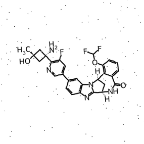 C[C@]1(O)C[C@](N)(c2ncc(-c3ccc4nc5n(c4c3)[C@@H]3C[C@H]5NC(=O)c4cccc(OC(F)F)c43)cc2F)C1